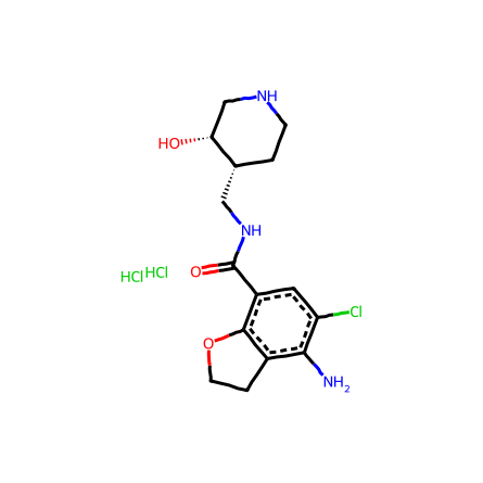 Cl.Cl.Nc1c(Cl)cc(C(=O)NC[C@H]2CCNC[C@H]2O)c2c1CCO2